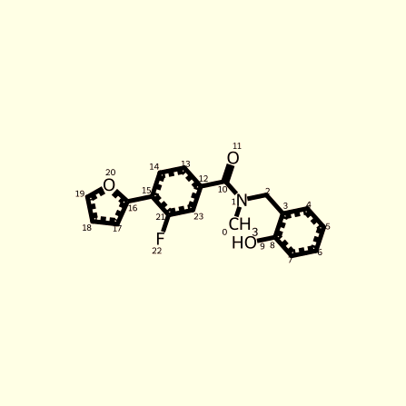 CN(Cc1ccccc1O)C(=O)c1ccc(-c2ccco2)c(F)c1